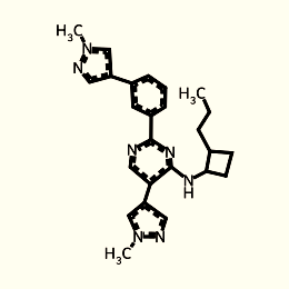 CCCC1CCC1Nc1nc(-c2cccc(-c3cnn(C)c3)c2)ncc1-c1cnn(C)c1